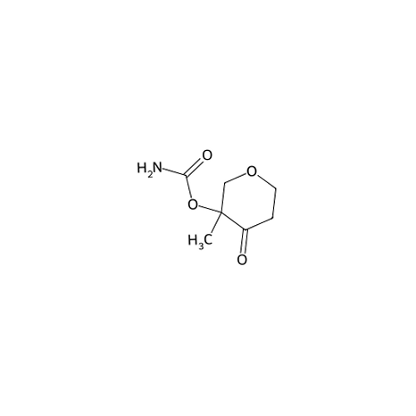 CC1(OC(N)=O)COCCC1=O